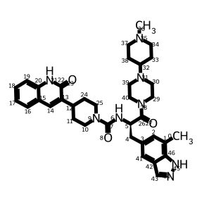 Cc1cc(C[C@@H](NC(=O)N2CCC(c3cc4ccccc4[nH]c3=O)CC2)C(=O)N2CCN(C3CCN(C)CC3)CC2)cc2cn[nH]c12